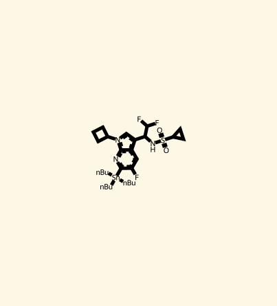 CCC[CH2][Sn]([CH2]CCC)([CH2]CCC)[c]1nc2c(cc1F)c(C(NS(=O)(=O)C1CC1)C(F)F)cn2C1CCC1